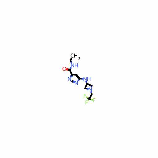 CCNC(=O)c1cc(NC2CN(CC(F)(F)F)C2)ncn1